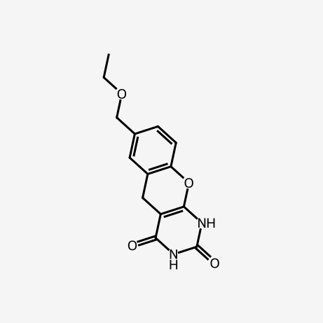 CCOCc1ccc2c(c1)Cc1c([nH]c(=O)[nH]c1=O)O2